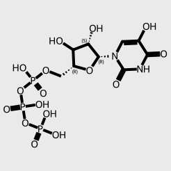 O=c1[nH]c(=O)n([C@@H]2O[C@H](COP(=O)(O)OP(=O)(O)OP(=O)(O)O)C(O)[C@@H]2O)cc1O